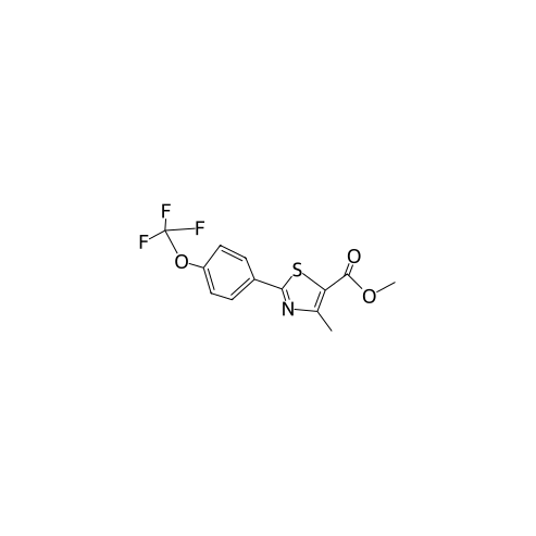 COC(=O)c1sc(-c2ccc(OC(F)(F)F)cc2)nc1C